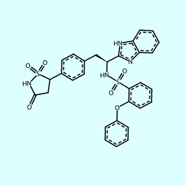 O=C1CC(c2ccc(C[C@H](NS(=O)(=O)c3ccccc3Oc3ccccc3)c3nc4ccccc4[nH]3)cc2)S(=O)(=O)N1